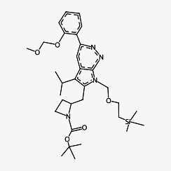 COCOc1ccccc1-c1cc2c(C(C)C)c(CC3CCN3C(=O)OC(C)(C)C)n(COCC[Si](C)(C)C)c2nn1